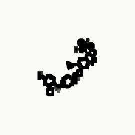 C[C@H](c1ccc(F)cc1Cl)N1CCC(F)(COc2cc(F)c(C(=O)NS(C)(=O)=O)cc2C2CC2)CC1